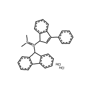 C[Si](C)=[Zr]([CH]1C=C(c2ccccc2)c2ccccc21)[CH]1c2ccccc2-c2ccccc21.Cl.Cl